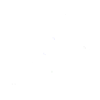 O=CCc1ccc(N2CCN(C(=O)c3cc([N+](=O)[O-])ccc3C(F)(F)F)CC2)c(F)c1